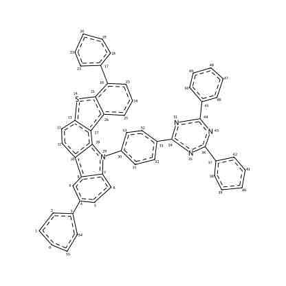 c1ccc(-c2ccc3c(c2)c2ccc4sc5c(-c6ccccc6)cccc5c4c2n3-c2ccc(-c3nc(-c4ccccc4)nc(-c4ccccc4)n3)cc2)cc1